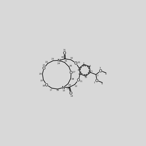 COC(OC)c1ccc2c(c1)OCC(=O)N1CCOCCOCCN(CCOCC1)C(=O)CO2